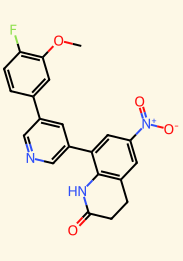 COc1cc(-c2cncc(-c3cc([N+](=O)[O-])cc4c3NC(=O)CC4)c2)ccc1F